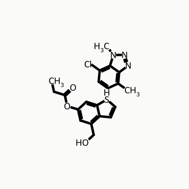 CCC(=O)Oc1cc(CO)c2c(c1)[SH](c1cc(Cl)c3c(nnn3C)c1C)C=C2